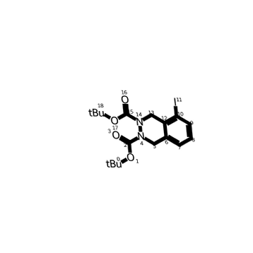 CC(C)(C)OC(=O)N1Cc2cccc(I)c2CN1C(=O)OC(C)(C)C